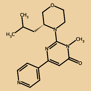 CC(C)C[C@@H]1COCCN1c1nc(-c2ccncc2)cc(=O)n1C